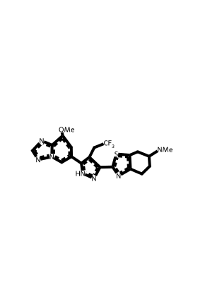 CNC1CCc2nc(-c3n[nH]c(-c4cc(OC)c5ncnn5c4)c3CC(F)(F)F)sc2C1